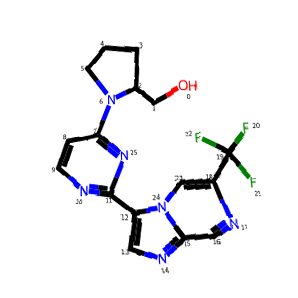 OCC1CCCN1c1ccnc(-c2cnc3cnc(C(F)(F)F)cn23)n1